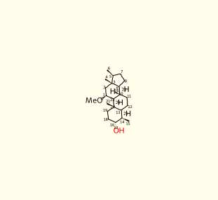 CO[C@H]1C[C@]2(C)[C@@H](C)CC[C@H]2[C@@H]2CC[C@H]3[C@@H](C)[C@H](O)CC[C@]3(C)[C@H]21